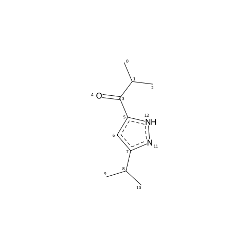 CC(C)C(=O)c1cc(C(C)C)n[nH]1